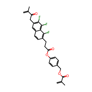 C=C(C)C(=O)Cc1cc2ccc(CCC(=O)Oc3ccc(COC(=O)C(=C)C)cc3)c(F)c2c(F)c1F